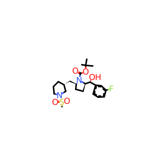 CC(C)(C)OC(=O)N1[C@H](C[C@H]2CCCN(S(C)(=O)=O)C2)CC[C@@H]1[C@H](O)c1cccc(F)c1